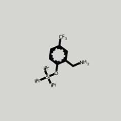 CC(C)[Si](Oc1ccc(C(F)(F)F)cc1CN)(C(C)C)C(C)C